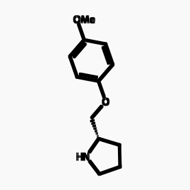 COc1ccc(OC[C@@H]2CCCN2)cc1